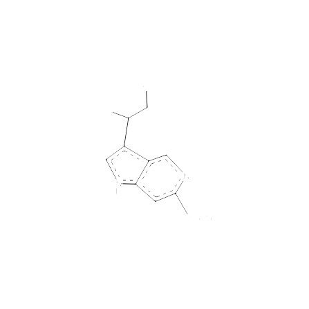 CCOC(=O)c1cc2[nH]cc(C(C)CO)c2cn1